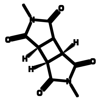 CN1C(=O)C2[C@H]3C(=O)N(C)C(=O)[C@H]3[C@H]2C1=O